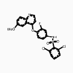 COc1ccc2nccc(Oc3ccc(NS(=O)(=O)c4c(Cl)cccc4Cl)cc3F)c2c1